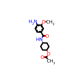 COc1cc(C(=O)N[C@H]2CC[C@H](OC(C)=O)CC2)ccc1N